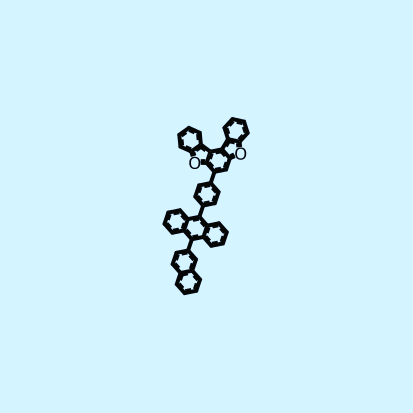 c1ccc2cc(-c3c4ccccc4c(-c4ccc(-c5cc6oc7ccccc7c6c6c5oc5ccccc56)cc4)c4ccccc34)ccc2c1